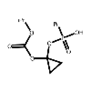 CC(C)OC(=O)OC1(OP(=O)(O)C(C)C)CC1